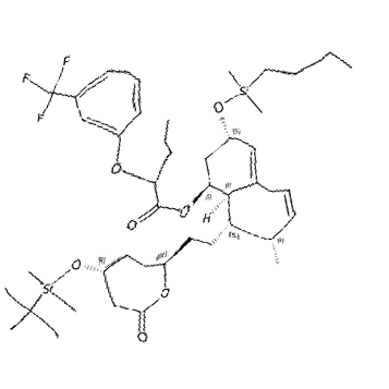 CCCC[Si](C)(C)O[C@@H]1C=C2C=C[C@H](C)[C@H](CC[C@@H]3C[C@@H](O[Si](C)(C)C(C)(C)C)CC(=O)O3)[C@H]2[C@@H](OC(=O)C(CC)Oc2cccc(C(F)(F)F)c2)C1